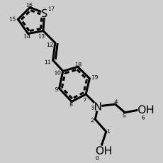 OCCN(CCO)c1ccc(C=Cc2cccs2)cc1